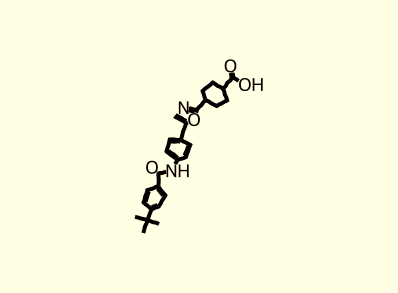 CC(C)(C)c1ccc(C(=O)Nc2ccc(-c3cnc(C4CCC(C(=O)O)CC4)o3)cc2)cc1